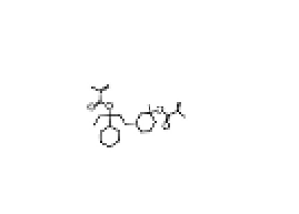 C=C(C)C(=O)OC1(C)CCCC(CCC(CC)(OC(=O)C(=C)C)C2CCCCC2)C1